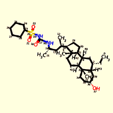 CC[C@H]1C[C@@H]2[C@H](CC[C@]3(C)[C@@H]([C@H](C)C[C@H](C)NC(=O)NS(=O)(=O)C4CCCCC4)CC[C@@H]23)[C@@]2(C)CC[C@@H](O)C[C@@H]12